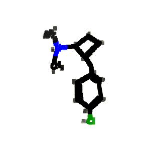 CCCN(C)C1CCC1c1ccc(Cl)cc1